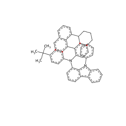 CC(C)(C)c1ccc(N(c2ccccc2-c2cccc3cccc(C4CCCCC4)c23)c2cccc3c4ccccc4n(-c4ccccc4)c23)cc1